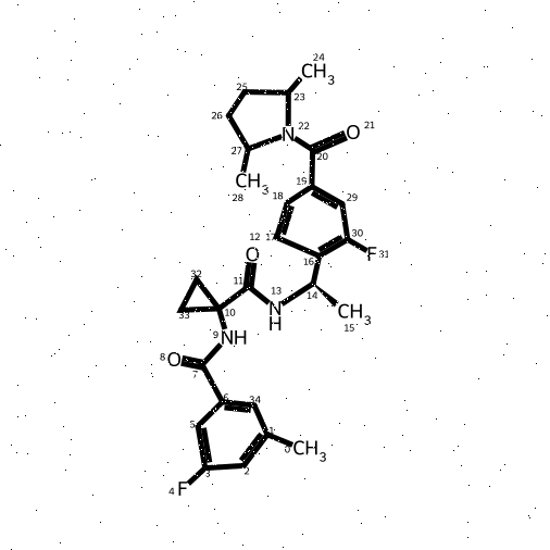 Cc1cc(F)cc(C(=O)NC2(C(=O)N[C@H](C)c3ccc(C(=O)N4C(C)CCC4C)cc3F)CC2)c1